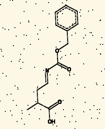 CC(CC=NC(=O)OCc1ccccc1)C(=O)O